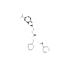 CC(C)c1ccc2nc(CCC(=O)N[C@H](CNC(=O)C3CCNCC3)C3CCCCC3)sc2c1